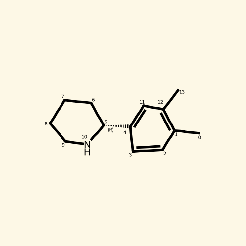 Cc1ccc([C@H]2CCCCN2)cc1C